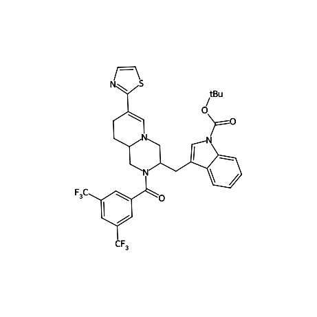 CC(C)(C)OC(=O)n1cc(CC2CN3C=C(c4nccs4)CCC3CN2C(=O)c2cc(C(F)(F)F)cc(C(F)(F)F)c2)c2ccccc21